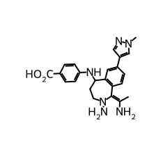 C/C(N)=C1\c2ccc(-c3cnn(C)c3)cc2C(Nc2ccc(C(=O)O)cc2)CCN1N